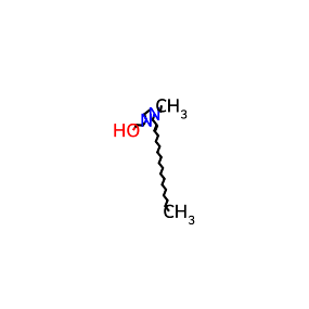 CCCCCCCCCCCCCCCC=CC1N(CC)CCN1CCO